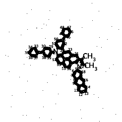 Cc1c(C)n(-c2ccc3cc4ccccc4cc3c2)c2c1cc1ccc3c(N(c4ccc(-c5ccccc5)cc4)c4ccc(-c5ccccc5)cc4)ccc4ccc2c1c43